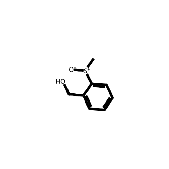 C[S+]([O-])c1ccccc1CO